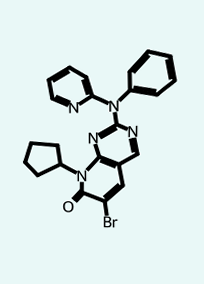 O=c1c(Br)cc2cnc(N(c3ccccc3)c3ccccn3)nc2n1C1CCCC1